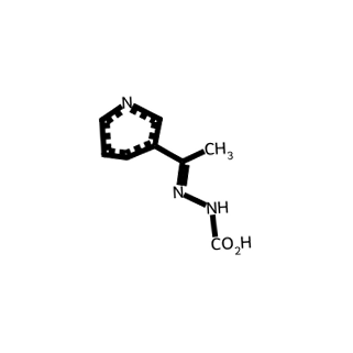 C/C(=N\NC(=O)O)c1cccnc1